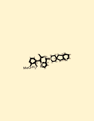 COc1cccc(-c2c(C)nc(N3CCC4(CC3)Cc3cccnc3C4)c3ccnn23)c1P